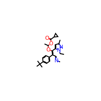 CCn1nc(C)cc1/C(OC(C)OC(=O)C1CC1)=C(\C=N\C)c1ccc(C(C)(C)C)cc1